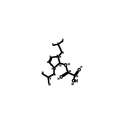 CC(C)CN1C=CN(CC(C)C)C1OC(=O)C(=O)O